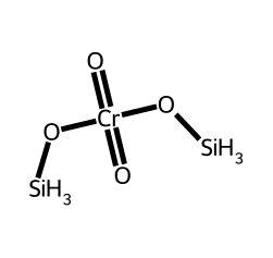 [O]=[Cr](=[O])([O][SiH3])[O][SiH3]